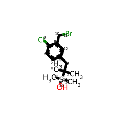 CC(C)(Cc1ccc(Cl)c(CBr)c1)[Si](C)(C)O